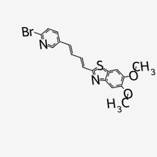 COc1cc2nc(/C=C/C=C/c3ccc(Br)nc3)sc2cc1OC